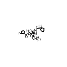 CC1(C)O[C@@H]2[C@@H](CNC3OC3c3ccccc3Cl)OC[C@]2(CNC(=O)c2cccc(F)c2)O1